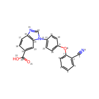 N#Cc1ccccc1Oc1ccc(-n2cnc3ccc(C(=O)O)cc32)cc1